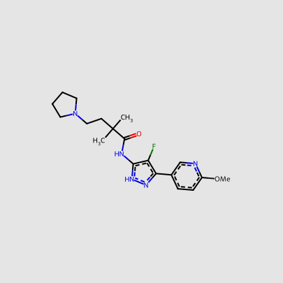 COc1ccc(-c2n[nH]c(NC(=O)C(C)(C)CCN3CCCC3)c2F)cn1